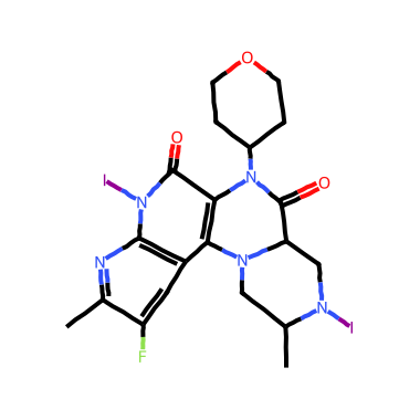 Cc1nc2c(cc1F)c1c(c(=O)n2I)N(C2CCOCC2)C(=O)C2CN(I)C(C)CN12